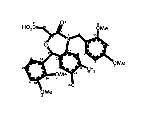 COc1ccc(CN2C(=O)C(CC(=O)O)OC(c3cccc(OC)c3OC)c3cc(Cl)c(C(F)(F)F)cc32)c(OC)c1